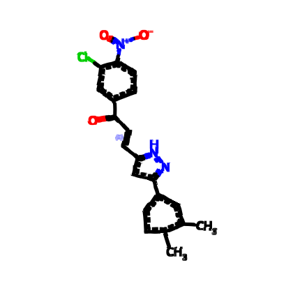 Cc1ccc(-c2cc(/C=C/C(=O)c3ccc([N+](=O)[O-])c(Cl)c3)[nH]n2)cc1C